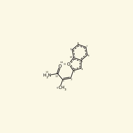 CC(=Cc1cc2ccccc2o1)C(N)=O